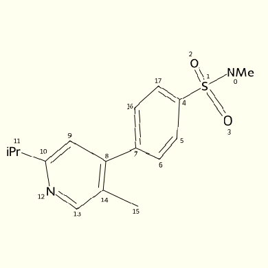 CNS(=O)(=O)c1ccc(-c2cc(C(C)C)ncc2C)cc1